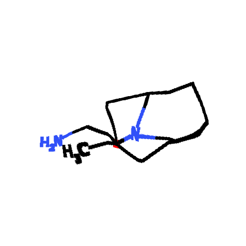 CC1CC2CCC(C1)N2CCN